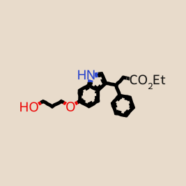 CCOC(=O)CC(c1ccccc1)c1c[nH]c2cc(OCCCO)ccc12